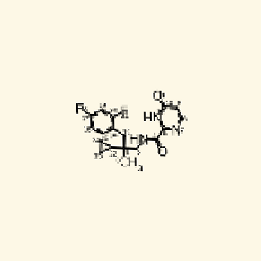 CC(CNC(=O)c1nccc(=O)[nH]1)(Cc1ccc(F)cc1F)C1CC1